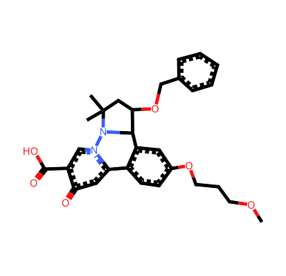 COCCCOc1ccc2c(c1)C1C(OCc3ccccc3)CC(C)(C)N1n1cc(C(=O)O)c(=O)cc1-2